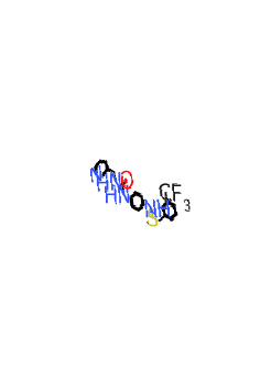 C=S(Cc1cccc(C(F)(F)F)c1)Nc1ccc(NC(=O)NCc2cccnc2)cc1